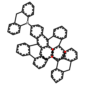 c1ccc(-c2ccccc2-c2c3ccc(N4c5ccccc5Cc5ccccc54)cc3c(-c3ccccc3-c3ccccc3)c3ccc(N4c5ccccc5Cc5ccccc54)cc23)cc1